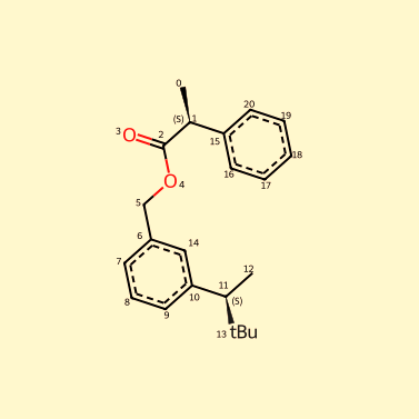 C[C@H](C(=O)OCc1cccc([C@@H](C)C(C)(C)C)c1)c1ccccc1